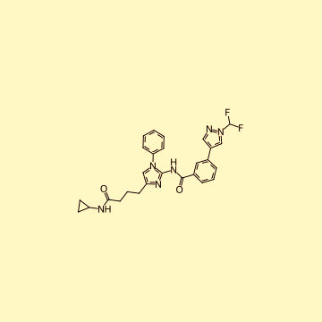 O=C(CCCc1cn(-c2ccccc2)c(NC(=O)c2cccc(-c3cnn(C(F)F)c3)c2)n1)NC1CC1